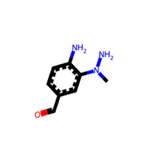 CN(N)c1cc(C=O)ccc1N